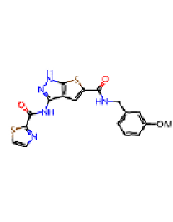 COc1cccc(CNC(=O)c2cc3c(NC(=O)c4nccs4)n[nH]c3s2)c1